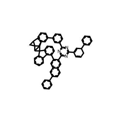 C1=CC(c2nc(-c3cccc(-c4ccccc4)c3)nc(-c3cc4ccc(-c5ccccc5)cc4cc3-c3cccc4c3-c3ccccc3C43C4CC5CC6CC64C53)n2)=CC(c2ccccc2)C1